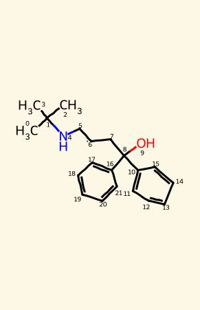 CC(C)(C)NC[CH]CC(O)(c1ccccc1)c1ccccc1